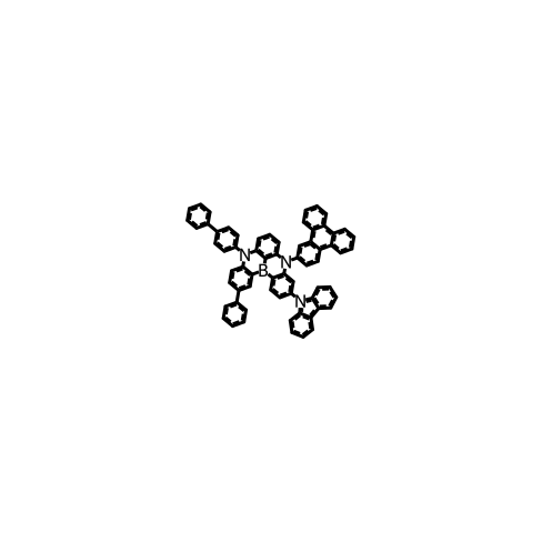 c1ccc(-c2ccc(N3c4ccc(-c5ccccc5)cc4B4c5ccc(-n6c7ccccc7c7ccccc76)cc5N(c5ccc6c7ccccc7c7ccccc7c6c5)c5cccc3c54)cc2)cc1